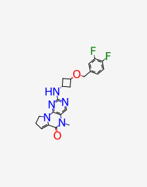 CN1C(=O)C2=CCCN2c2nc(N[C@H]3C[C@H](OCc4ccc(F)c(F)c4)C3)ncc21